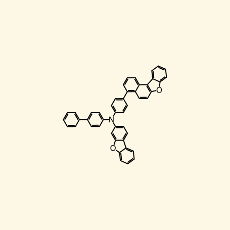 c1ccc(-c2ccc(N(c3ccc(-c4cccc5c4ccc4oc6ccccc6c45)cc3)c3ccc4c(c3)oc3ccccc34)cc2)cc1